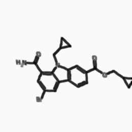 NC(=O)c1cc(Br)cc2c3ccc(C(=O)OCC4CC4)cc3n(CC3CC3)c12